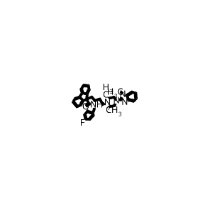 C[C@@H]1CN(c2nc3ccccc3n2C)C[C@H](C)N1CCCCC1(C(=O)NCc2ccc(F)cc2)c2ccccc2-c2ccccc21